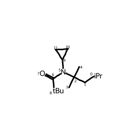 CC(C)CC(C)(C)N(C(=O)C(C)(C)C)C1CC1